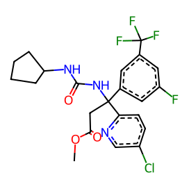 COC(=O)CC(NC(=O)NC1CCCC1)(c1cc(F)cc(C(F)(F)F)c1)c1ccc(Cl)cn1